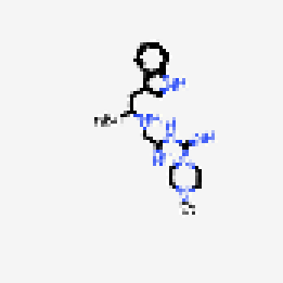 CCCCC(Cc1c[nH]c2ccccc12)NCC(=N)NC(=N)N1CCN(CC)CC1